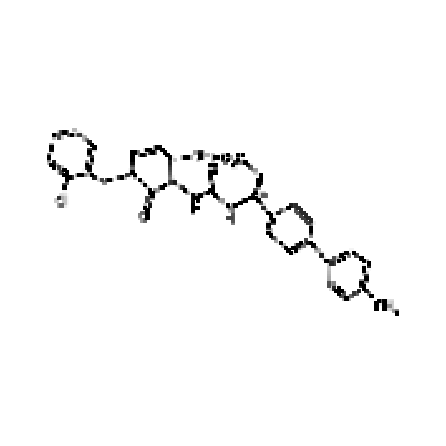 Cc1ccc(-c2ccc([C@H](CC(=O)O)NC(=O)Nc3c(O)ccn(Cc4ccccc4Cl)c3=O)cc2)cc1